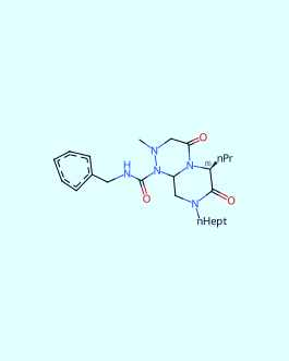 CCCCCCCN1CC2N(C(=O)CN(C)N2C(=O)NCc2ccccc2)[C@@H](CCC)C1=O